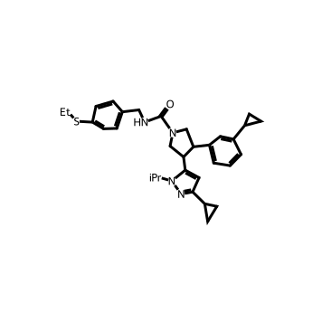 CCSc1ccc(CNC(=O)N2CC(c3cccc(C4CC4)c3)C(c3cc(C4CC4)nn3C(C)C)C2)cc1